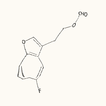 O=[C]OCCc1coc2ccc(F)cc12